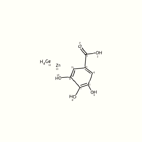 O=C(O)c1cc(O)c(O)c(O)c1.[GeH4].[Zn]